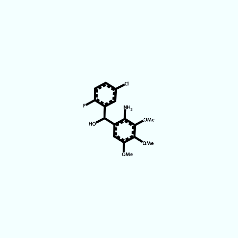 COc1cc(C(O)c2cc(Cl)ccc2F)c(N)c(OC)c1OC